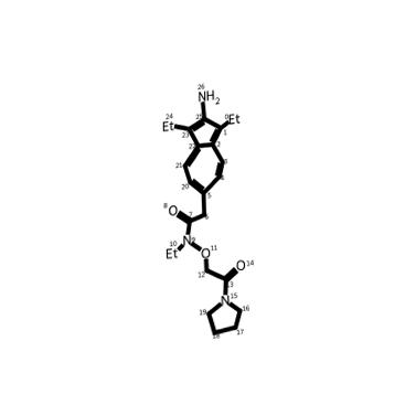 CCc1c2ccc(CC(=O)N(CC)OCC(=O)N3CCCC3)ccc-2c(CC)c1N